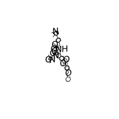 COC(=O)[C@H](Cc1ccc(-c2ccnc(C)c2C)cc1)NC(=O)[C@@H]1Cc2cc3c(cc2CN1C(=O)c1nc(C)oc1C)O[C@@H](c1ccc(OCC2CCCCC2)cc1)CO3